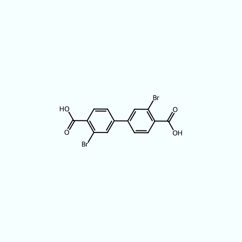 O=C(O)c1ccc(-c2ccc(C(=O)O)c(Br)c2)cc1Br